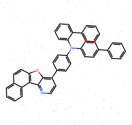 c1ccc(-c2ccc(N(c3ccc(-c4ccnc5c4oc4ccc6ccccc6c45)cc3)c3ccccc3-c3ccccc3)cc2)cc1